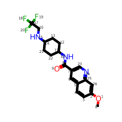 COc1ccc2cc(C(=O)NC3CCC(NCC(F)(F)F)CC3)cnc2c1